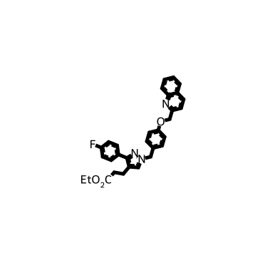 CCOC(=O)CCc1cn(Cc2ccc(OCc3ccc4ccccc4n3)cc2)nc1-c1ccc(F)cc1